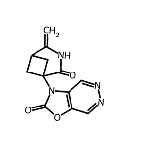 C=C1NC(=O)C2(n3c(=O)oc4cnncc43)CC1C2